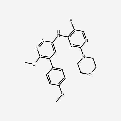 COc1ccc(-c2cc(Nc3nc(N4CCOCC4)ncc3F)nnc2OC)cc1